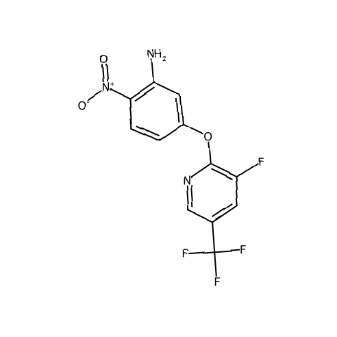 Nc1cc(Oc2ncc(C(F)(F)F)cc2F)ccc1[N+](=O)[O-]